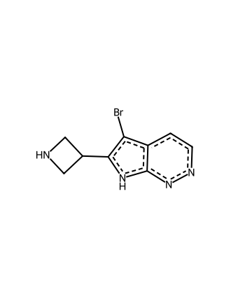 Brc1c(C2CNC2)[nH]c2nnccc12